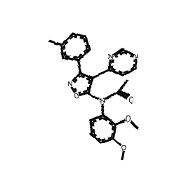 COc1cccc(N(C(C)=O)c2onc(-c3cccc(C)c3)c2-c2ccncn2)c1OC